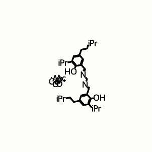 CC(=O)[O-].CC(=O)[O-].CC(C)CCc1cc(C=NCN=Cc2cc(CCC(C)C)cc(C(C)C)c2O)c(O)c(C(C)C)c1.[Co+2]